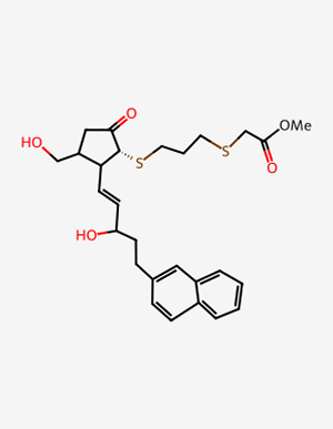 COC(=O)CSCCCS[C@H]1C(=O)CC(CO)C1/C=C/C(O)CCc1ccc2ccccc2c1